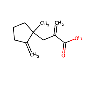 C=C(CC1(C)CCCC1=C)C(=O)O